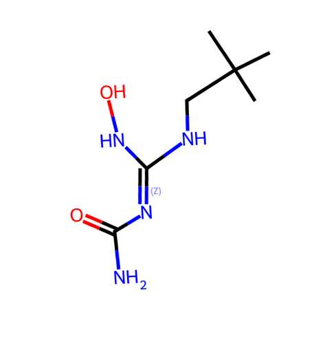 CC(C)(C)CN/C(=N/C(N)=O)NO